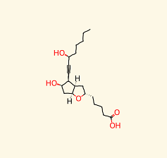 CCCCC[C@H](O)C#C[C@H]1[C@H]2C[C@H](CCCCC(=O)O)O[C@H]2C[C@H]1O